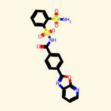 NS(=O)(=O)c1ccccc1S(=O)(=O)NC(=O)c1ccc(-c2nc3cccnc3o2)cc1